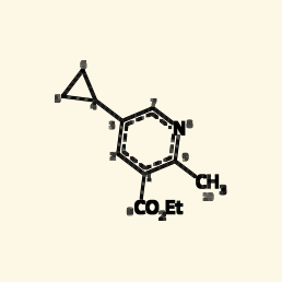 CCOC(=O)c1cc(C2CC2)cnc1C